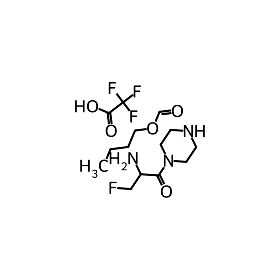 CCCCOC=O.NC(CF)C(=O)N1CCNCC1.O=C(O)C(F)(F)F